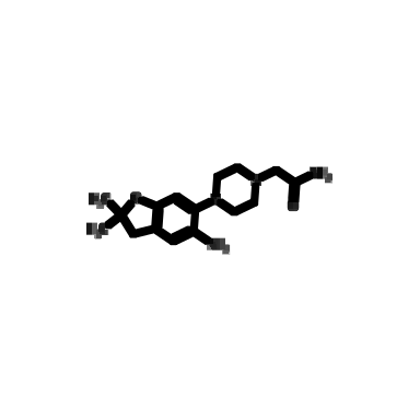 CC1(C)Cc2cc(N)c(N3CCN(CC(N)=O)CC3)cc2O1